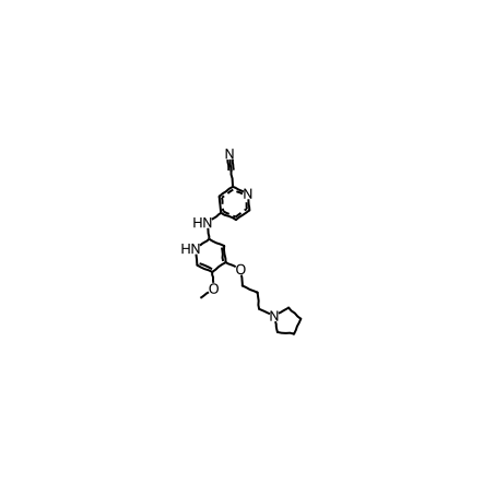 COC1=CNC(Nc2ccnc(C#N)c2)C=C1OCCCN1CCCC1